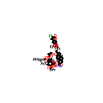 C#C[C@]1(O)CC[C@H]2[C@@H]3CCC4=Cc5oncc5C[C@]4(C)[C@H]3CC[C@@]21C.C/C=C(/C)C(=O)O[C@H]1C(C)=C2[C@H]([C@@H]1OC(=O)CCCCCCC)[C@@](C)(OC(C)=O)C[C@H](OC(=O)CCC)[C@@]1(O)[C@H]2OC(=O)[C@@]1(C)O.CCOP(=S)(OCC)Oc1ccc2c(C)c(Cl)c(=O)oc2c1